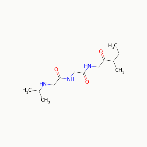 CCC(C)C(=O)CNC(=O)CNC(=O)CNC(C)C